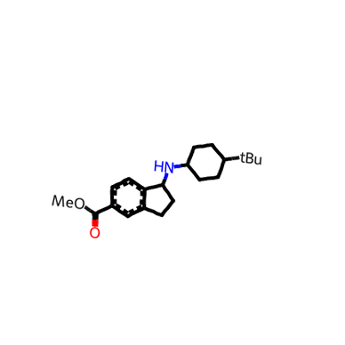 COC(=O)c1ccc2c(c1)CCC2NC1CCC(C(C)(C)C)CC1